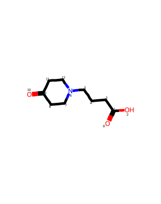 O=C(O)CCCN1CCC(=O)CC1